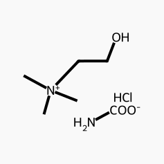 C[N+](C)(C)CCO.Cl.NC(=O)[O-]